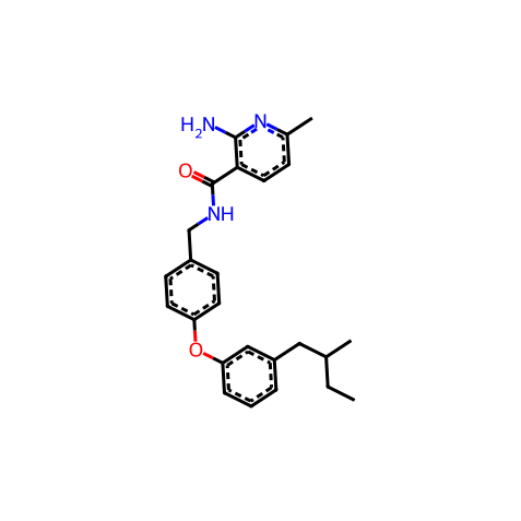 CCC(C)Cc1cccc(Oc2ccc(CNC(=O)c3ccc(C)nc3N)cc2)c1